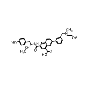 COC[C@H](Cc1ccc(O)cc1)NC(=O)c1cc(C(=O)O)c2cc(-c3cccc(CN(C)CCO)c3)ccc2n1